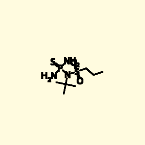 CCCS(=O)(=O)N(C(C)(C)C)P(N)(N)=S